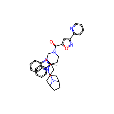 Cc1nc2ccccc2n1C1CC2CCC(C1)N2CCC1(c2ccccc2)CCN(C(=O)c2cc(-c3ccccn3)no2)CC1